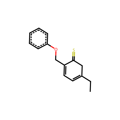 CCC1=CC=C(COc2ccccc2)C(=S)C1